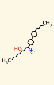 [C-]#[N+]C(CCC(O)CCCCCC)C1CCC(C2CCC(CCCCC)CC2)CC1